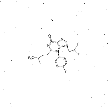 CC(CCc1nc(=O)c2ncn(CC(F)F)c2n1-c1ccc(F)cc1)C(F)(F)F